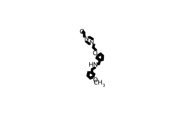 COc1cccc(CCNCc2cccc(OCCCN3CCN(CC=O)CC3)c2)c1